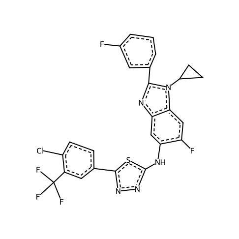 Fc1cccc(-c2nc3cc(Nc4nnc(-c5ccc(Cl)c(C(F)(F)F)c5)s4)c(F)cc3n2C2CC2)c1